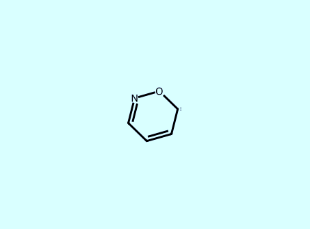 [C]1C=CC=NO1